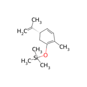 C=C(C)[C@@H]1C=CC(C)=C(O[Si](C)(C)C)C1